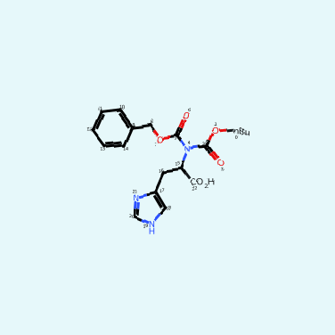 CCCCOC(=O)N(C(=O)OCc1ccccc1)C(Cc1c[nH]cn1)C(=O)O